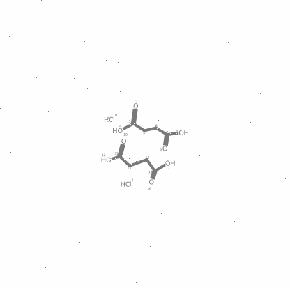 Cl.Cl.O=C(O)CCC(=O)O.O=C(O)CCC(=O)O